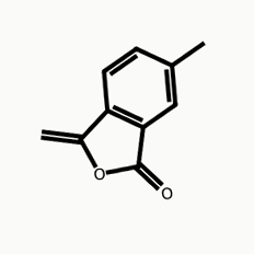 C=C1OC(=O)c2cc(C)ccc21